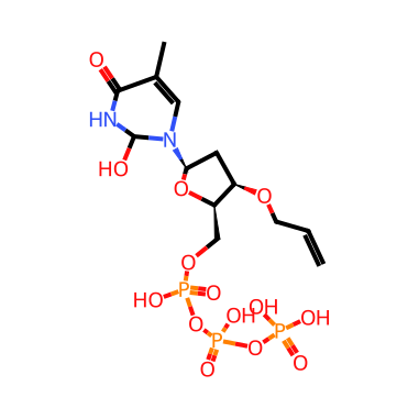 C=CCO[C@@H]1C[C@H](N2C=C(C)C(=O)NC2O)O[C@@H]1COP(=O)(O)OP(=O)(O)OP(=O)(O)O